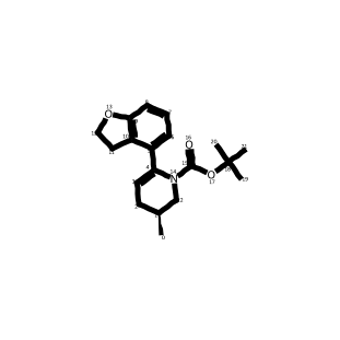 C[C@H]1CC=C(c2cccc3c2CCO3)N(C(=O)OC(C)(C)C)C1